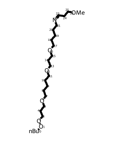 CCCCOOCCCOCCCCCOCCCOCCCCC/N=C\CCOC